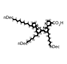 CCCCCCCCCCCCCCCCCCCc1ccnc(-c2cc(CCCCCCCCCCCCCCCC)cc(-c3cc(CCCCCCCCCCCCCCCC)cc(-c4cc(C(=O)O)ccn4)n3)n2)c1